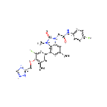 COc1cc(-c2cc(F)c(OCc3nnc[nH]3)c(OC)c2)c2c(c1)n(CC(=O)Nc1ccc(F)cc1)c(=O)n2C